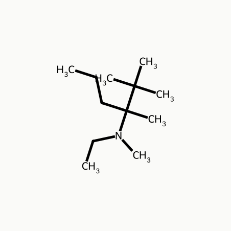 CCCC(C)(N(C)CC)C(C)(C)C